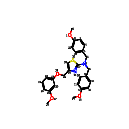 COc1ccc(CN(Cc2ccc(OC)cc2)c2nc(COc3cccc(OC)c3)cs2)cc1